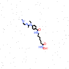 C=N/C=C\N=C(/C)N(CC)c1ccc(C(=O)NCCCCCCC(=O)NO)cc1